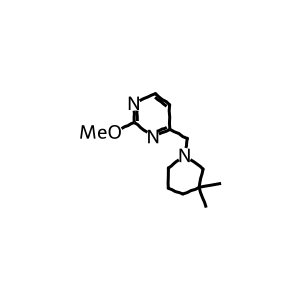 COc1nccc(CN2CCCC(C)(C)C2)n1